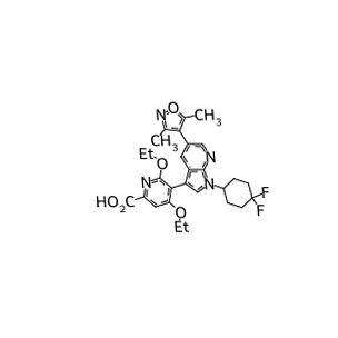 CCOc1cc(C(=O)O)nc(OCC)c1-c1cn(C2CCC(F)(F)CC2)c2ncc(-c3c(C)noc3C)cc12